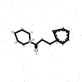 O=C(C[CH]c1ccccc1)N1CCCCC1